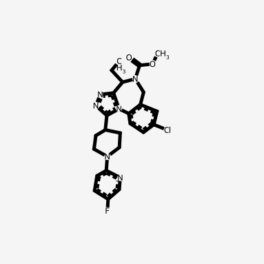 CCC1c2nnc(C3CCN(c4ccc(F)cn4)CC3)n2-c2ccc(Cl)cc2CN1C(=O)OC